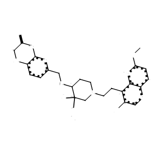 COc1ccc2ncc(F)c(CCN3CCC(NCc4ccc5c(n4)NC(=O)CO5)C(C)(O)C3)c2n1.Cl.Cl